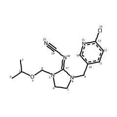 CC(C)OCN1CCN(Cc2ccc(Cl)nc2)/C1=N/C#N